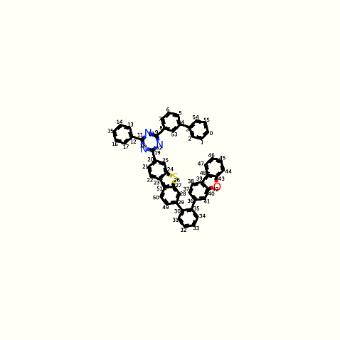 c1ccc(-c2cccc(-c3nc(-c4ccccc4)nc(-c4ccc5c(c4)sc4cc(-c6ccccc6-c6ccc7c(c6)oc6ccccc67)ccc45)n3)c2)cc1